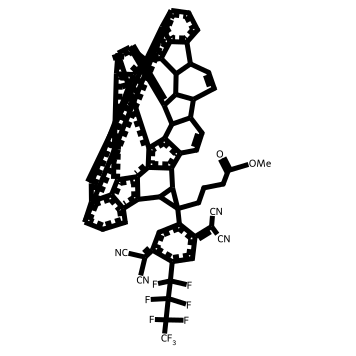 COC(=O)CCCC1(c2cc(=C(C#N)C#N)c(C(F)(F)C(F)(F)C(F)(F)C(F)(F)F)cc2=C(C#N)C#N)C2c3c4c5c6c3c3c(c7ccc8c9ccc%10c%11c%12c%13c(c6c6c%13c(c%119)c8c7c36)=C3C5C(C=C4)C4C=CC%10C%12C34)C21